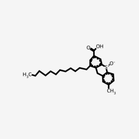 CCCCCCCCCCCCc1cc(C(=O)O)cc2c1Cc1cc(C)ccc1[S+]2[O-]